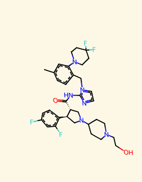 Cc1ccc(Cn2ccnc2NC(=O)[C@@H]2CN(C3CCN(CCO)CC3)C[C@H]2c2ccc(F)cc2F)c(N2CCC(F)(F)CC2)c1